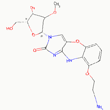 COC1C(O)[C@@H](CO)O[C@H]1n1cc2c(nc1=O)Nc1c(OCCN)cccc1O2